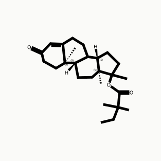 CCC(C)(C)C(=O)OC1(C)CC[C@H]2C3CCC4=CC(=O)CC[C@]4(C)[C@H]3CC[C@@]21C